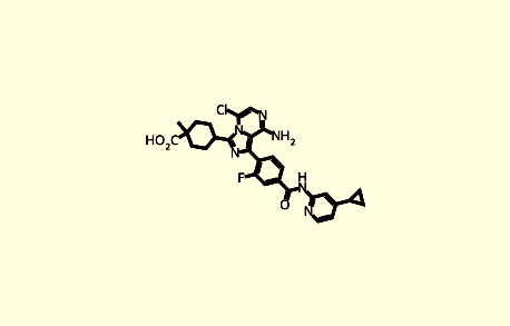 CC1(C(=O)O)CCC(c2nc(-c3ccc(C(=O)Nc4cc(C5CC5)ccn4)cc3F)c3c(N)ncc(Cl)n23)CC1